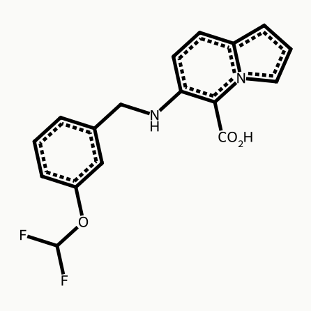 O=C(O)c1c(NCc2cccc(OC(F)F)c2)ccc2cccn12